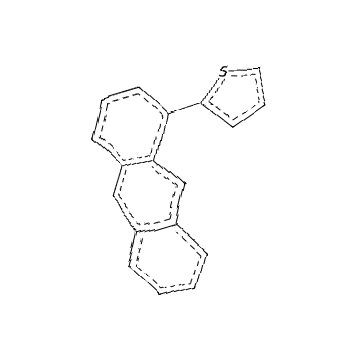 c1csc(-c2cccc3cc4ccccc4cc23)c1